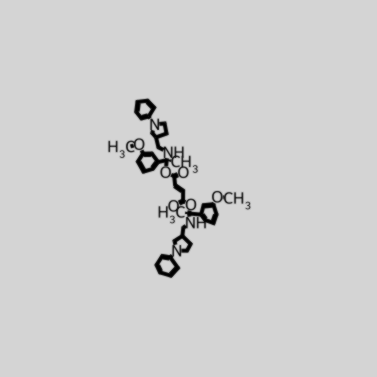 COc1cccc([C@](C)(NCC2CCN(c3ccccc3)C2)OC(=O)/C=C/C(=O)O[C@@](C)(NCC2CCN(c3ccccc3)C2)c2cccc(OC)c2)c1